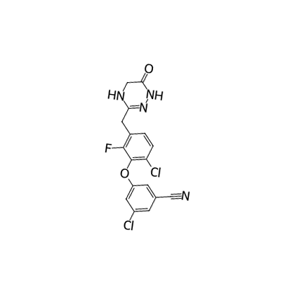 N#Cc1cc(Cl)cc(Oc2c(Cl)ccc(CC3=NNC(=O)CN3)c2F)c1